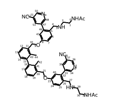 CC(=O)NCCNCc1ccc(OCc2cccc(-c3cccc(COc4ccc(CNCCNC(C)=O)c(-c5cncc(C#N)c5)c4)c3C)c2C)cc1-c1cncc(C#N)c1